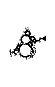 C[C@@H]1[C@@H](C)CCC[C@]2(OC[C@@H](N(C)C)CO2)[C@@H]2CC[C@H]2CN2CCCCc3cc(Cl)ccc3COc3c2cc(cc3C23CCCC2C(CCC2CC2)C3)C(=O)NS1(=O)=O